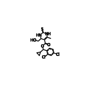 CC1=C(C(=O)OC(c2ccc(Cl)cc2Cl)C2CC2)C(CO)NC(=S)N1